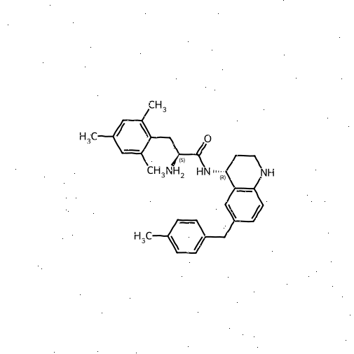 Cc1ccc(Cc2ccc3c(c2)[C@H](NC(=O)[C@@H](N)Cc2c(C)cc(C)cc2C)CCN3)cc1